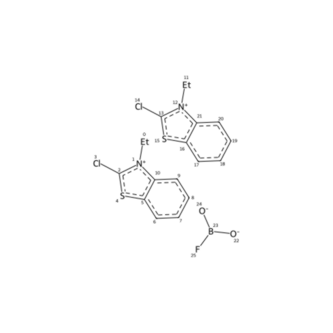 CC[n+]1c(Cl)sc2ccccc21.CC[n+]1c(Cl)sc2ccccc21.[O-]B([O-])F